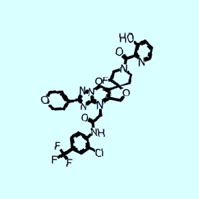 O=C(Cn1c2c(c(=O)n3nc(C4=CCOCC4)nc13)[C@@]1(CCN(C(=O)c3ncccc3O)CC1F)OC2)Nc1ccc(C(F)(F)F)cc1Cl